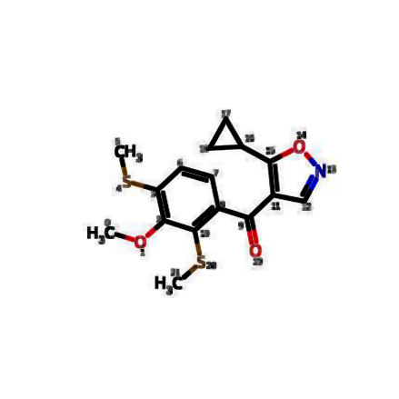 COc1c(SC)ccc(C(=O)c2cnoc2C2CC2)c1SC